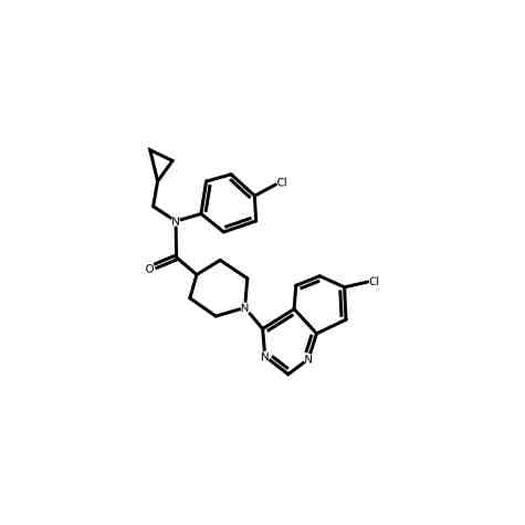 O=C(C1CCN(c2ncnc3cc(Cl)ccc23)CC1)N(CC1CC1)c1ccc(Cl)cc1